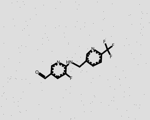 O=Cc1cnc(NCc2ccc(C(F)(F)F)nc2)c(F)c1